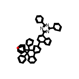 c1ccc(-c2nc(-c3ccccc3)nc(-c3ccc(-c4ccc5c(c4)C(c4ccccc4)(c4ccccc4)C(c4ccccc4)(c4ccccc4)c4ccccc4-5)c4ccccc34)n2)cc1